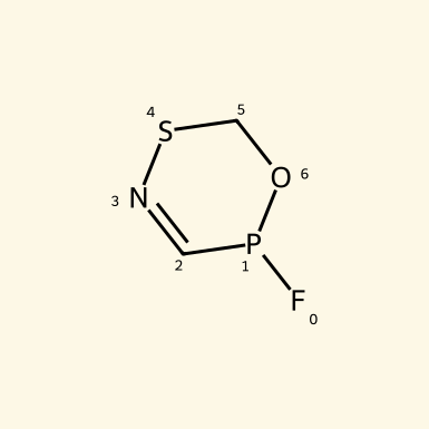 FP1C=NSCO1